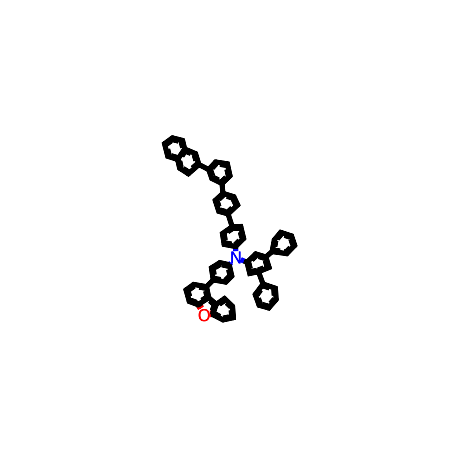 c1ccc(-c2cc(-c3ccccc3)cc(N(c3ccc(-c4ccc(-c5cccc(-c6ccc7ccccc7c6)c5)cc4)cc3)c3ccc(-c4cccc5oc6ccccc6c45)cc3)c2)cc1